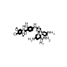 COc1cc(NC(=O)c2ccc(NC3=NC(N4C[C@H](N)C[C@H](N)C4)N(N4C[C@H](N)C[C@H](N)C4)C=N3)cc2O)c(OC)cc1Cl